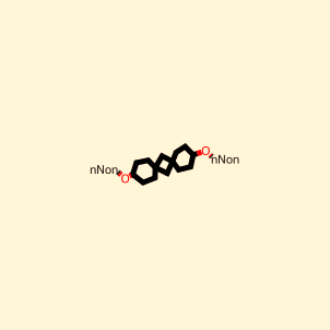 CCCCCCCCCOC1CCC2(CC1)CC1(CCC(OCCCCCCCCC)CC1)C2